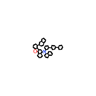 c1ccc(-c2ccc(-c3cccc(N(c4cccc5ccccc45)c4cc5c(oc6cccc(-c7ccc8ccccc8c7)c65)c5ccccc45)c3)cc2)cc1